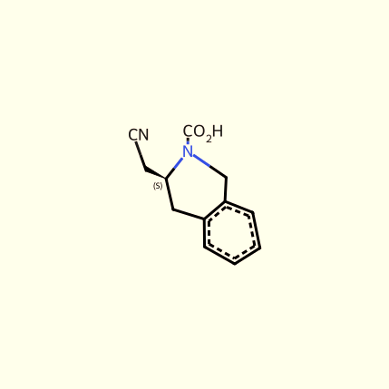 N#CC[C@@H]1Cc2ccccc2CN1C(=O)O